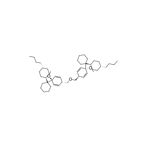 CCCC[C@H]1CC[C@H](C2([C@]3(OC)C=C[C@H](COC[C@H]4C=C[C@@](OC)(C5([C@H]6CC[C@H](CCCC)CC6)CCCCC5)C=C4)C=C3)CCCCC2)CC1